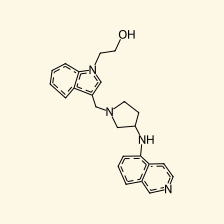 OCCn1cc(CN2CCC(Nc3cccc4cnccc34)C2)c2ccccc21